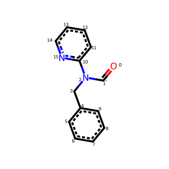 O=[C]N(Cc1ccccc1)c1ccccn1